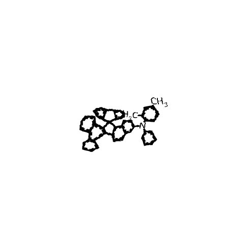 Cc1ccc(N(c2ccccc2)c2ccc3c4c(ccc3c2)-c2c(c3ccccc3c3ccccc23)C42c3ccccc3-c3ccccc32)c(C)c1